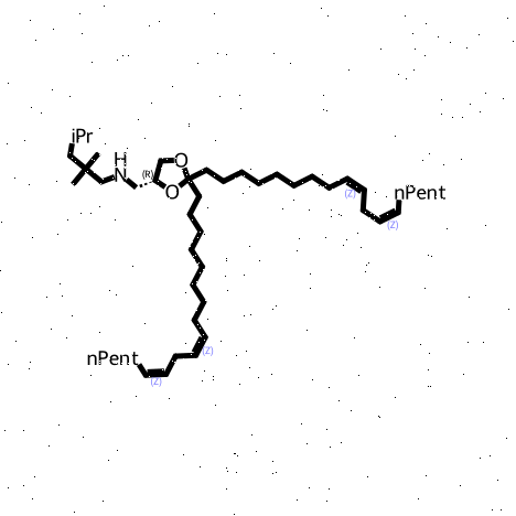 CCCCC/C=C\C/C=C\CCCCCCCCC1(CCCCCCCC/C=C\C/C=C\CCCCC)OC[C@@H](CNCC(C)(C)CC(C)C)O1